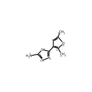 Cc1cc(-c2nnc(N)s2)c(C)o1